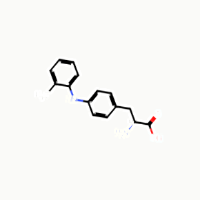 Cc1ccccc1Nc1ccc(C[C@H](N)C(=O)O)cc1